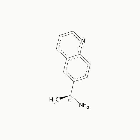 C[C@H](N)c1ccc2ncccc2c1